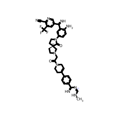 CN/C=N\C(=N)c1ccc(C2=CCN(C(=O)CN3CC[C@]4(CCN(c5ccc(N)c(C(=N)c6cnc(C#N)c(C(F)(F)F)c6)c5)C4=O)C3)CC2)cc1